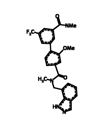 CNC(=O)c1cc(-c2ccc(C(=O)N(C)Cc3cccc4cn[nH]c34)cc2OC)cc(C(F)(F)F)c1